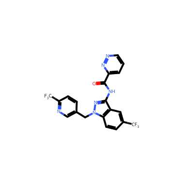 O=C(Nc1nn(Cc2ccc(C(F)(F)F)nc2)c2ccc(C(F)(F)F)cc12)c1cccnn1